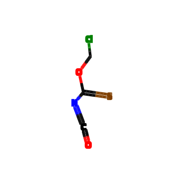 O=C=NC(=S)OCCl